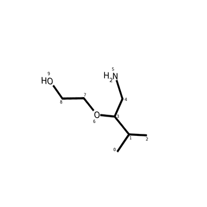 CC(C)C(CN)OCCO